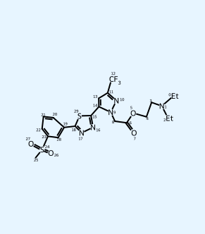 CCN(CC)CCOC(=O)Cn1nc(C(F)(F)F)cc1-c1nnc(-c2cccc(S(C)(=O)=O)c2)s1